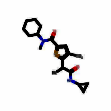 CN(C(=O)c1cc([N+](=O)[O-])c(C(C#N)C(=O)NC2CC2)s1)C1CCCCC1